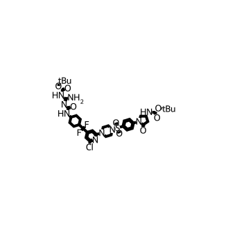 CC(C)(C)OC(=O)N/C(N)=N/C(=O)NC1CCC(C(F)(F)c2cc(Cl)nc(N3CCN(S(=O)(=O)c4ccc(N5C[C@H](NC(=O)OC(C)(C)C)CC5=O)cc4)CC3)c2)CC1